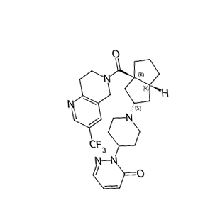 O=C(N1CCc2ncc(C(F)(F)F)cc2C1)[C@@]12CCC[C@@H]1C[C@H](N1CCC(n3ncccc3=O)CC1)C2